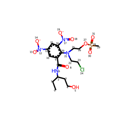 CCC(CCO)NC(=O)c1cc([N+](=O)[O-])cc([N+](=O)[O-])c1N(CCCl)CCOS(C)(=O)=O